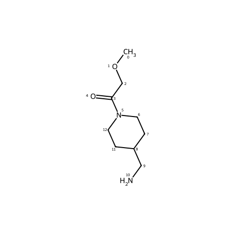 COCC(=O)N1CCC(CN)CC1